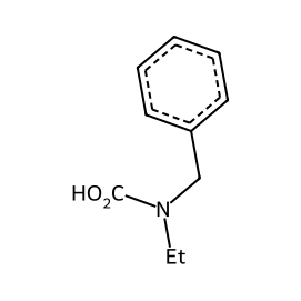 CCN(Cc1ccccc1)C(=O)O